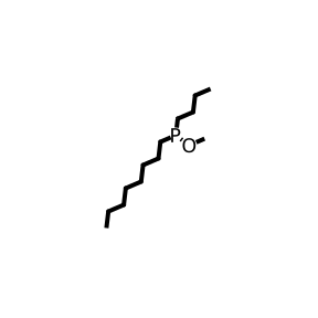 CCCCCCCCP(CCCC)OC